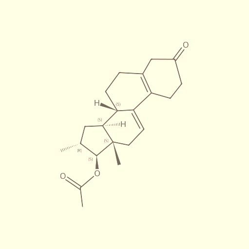 CC(=O)O[C@H]1[C@H](C)C[C@H]2[C@@H]3CCC4=C(CCC(=O)C4)C3=CC[C@@]21C